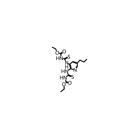 CCCc1cnc(NC(=S)NC(=O)OCC)c(NC(=S)NC(=O)OCC)c1